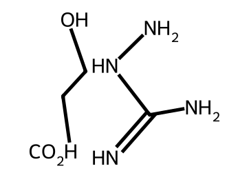 N=C(N)NN.O=C(O)CCO